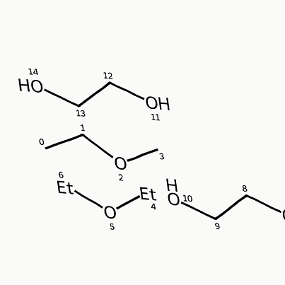 CCOC.CCOCC.OCCO.OCCO